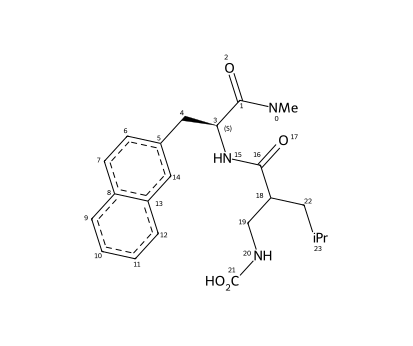 CNC(=O)[C@H](Cc1ccc2ccccc2c1)NC(=O)C(CNC(=O)O)CC(C)C